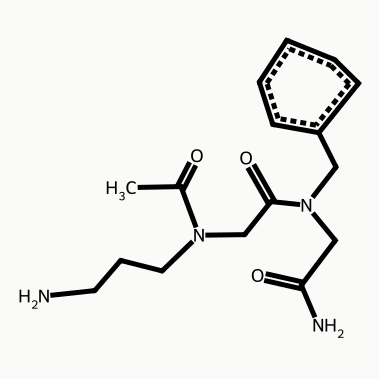 CC(=O)N(CCCN)CC(=O)N(CC(N)=O)Cc1ccccc1